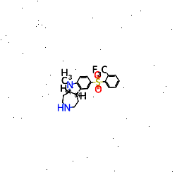 CN1c2ccc(S(=O)(=O)c3ccccc3C(F)(F)F)cc2[C@@H]2CCNCC[C@H]21